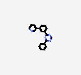 c1ccc(-c2ncnc(-c3cccc(-c4cccnc4)c3)n2)cc1